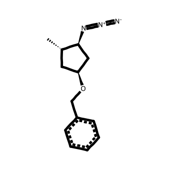 C[C@H]1C[C@H](OCc2ccccc2)C[C@@H]1N=[N+]=[N-]